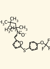 CC(C)(C)CC(C)(C)[N+]([O-])=Cc1ccc(Sc2ccc(OC(F)(F)F)cc2)o1